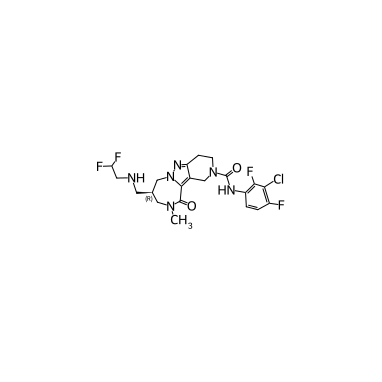 CN1C[C@@H](CNCC(F)F)Cn2nc3c(c2C1=O)CN(C(=O)Nc1ccc(F)c(Cl)c1F)CC3